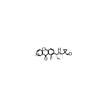 CC[C@@H](N[C@@H](C)C1(C=O)CC1)c1ccc(Cl)c(C(=O)c2cccnc2)c1F